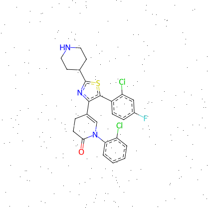 O=C1CCC(c2nc(C3CCNCC3)sc2-c2ccc(F)cc2Cl)=CN1c1ccccc1Cl